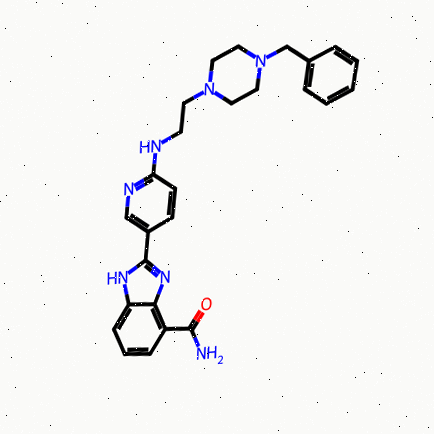 NC(=O)c1cccc2[nH]c(-c3ccc(NCCN4CCN(Cc5ccccc5)CC4)nc3)nc12